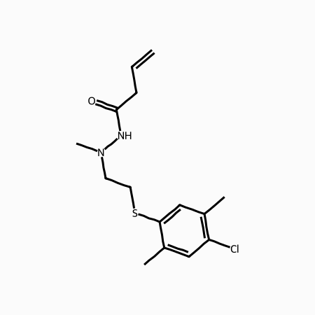 C=CCC(=O)NN(C)CCSc1cc(C)c(Cl)cc1C